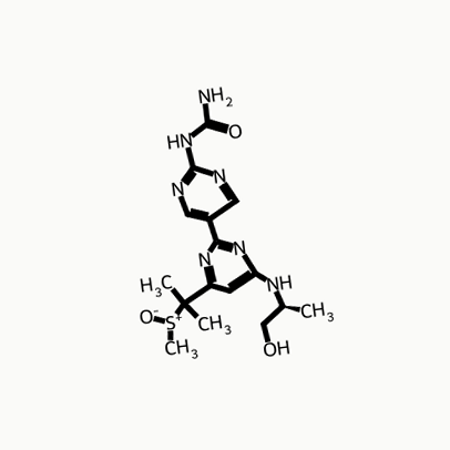 C[C@@H](CO)Nc1cc(C(C)(C)[S+](C)[O-])nc(-c2cnc(NC(N)=O)nc2)n1